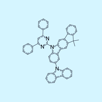 CC1(C)c2ccccc2-c2cc3c(cc21)c1cc(-n2c4ccccc4c4ccccc42)ccc1n3-c1nc(-c2ccccc2)cc(-c2ccccc2)n1